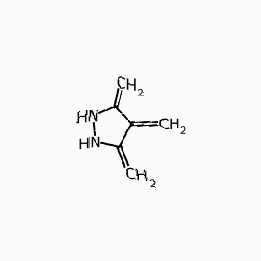 C=C1NNC(=C)C1=C